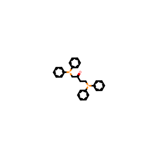 O=C(CCP(c1ccccc1)c1ccccc1)CP(c1ccccc1)c1ccccc1